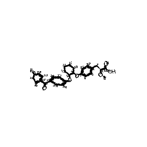 CO[C@@H](Cc1ccc(OC2CCCCC2Oc2ccc(C(=O)c3ccc(F)cc3)cc2)cc1)C(=O)O